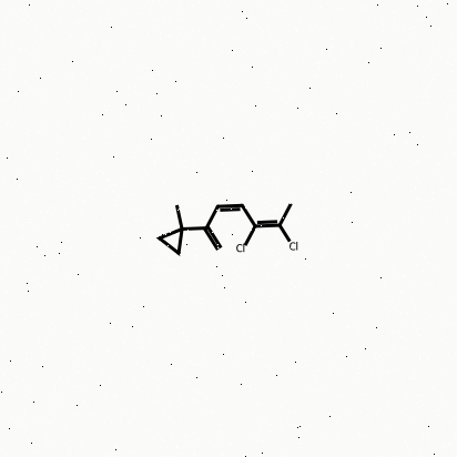 C=C(/C=C\C(Cl)=C(/C)Cl)C1(C)CC1